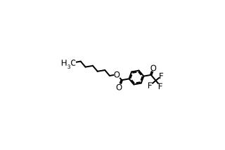 CCCCCCCOC(=O)c1ccc(C(=O)C(F)(F)F)cc1